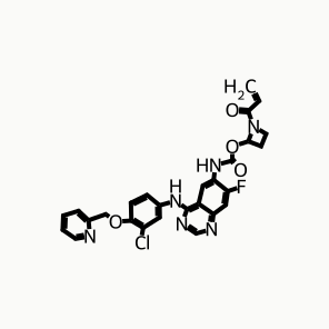 C=CC(=O)N1CCC1OC(=O)Nc1cc2c(Nc3ccc(OCc4ccccn4)c(Cl)c3)ncnc2cc1F